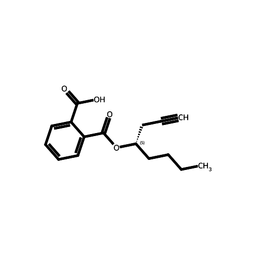 C#CC[C@H](CCCC)OC(=O)c1ccccc1C(=O)O